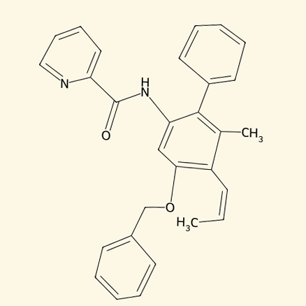 C/C=C\c1c(OCc2ccccc2)cc(NC(=O)c2ccccn2)c(-c2ccccc2)c1C